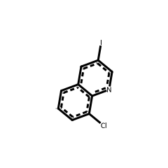 Clc1c[c]cc2cc(I)cnc12